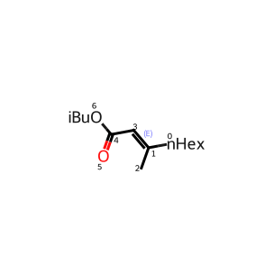 CCCCCC/C(C)=C/C(=O)OCC(C)C